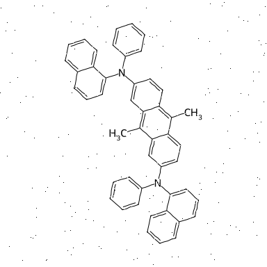 Cc1c2ccc(N(c3ccccc3)c3cccc4ccccc34)cc2c(C)c2cc(N(c3ccccc3)c3cccc4ccccc34)ccc12